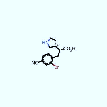 N#Cc1ccc(C[C@H](C(=O)O)[C@H]2CCNC2)c(Br)c1